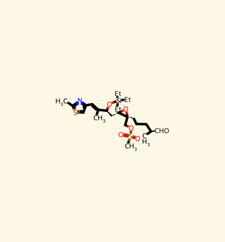 CC[Si](CC)(CC)O[C@@H](C[C@@H]1O[C@@]1(CCC[C@H](C)C=O)COS(C)(=O)=O)/C(C)=C/c1csc(C)n1